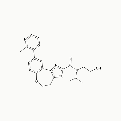 Cc1ncccc1-c1ccc2c(c1)-c1nc(C(=O)N(CCO)C(C)C)sc1CCO2